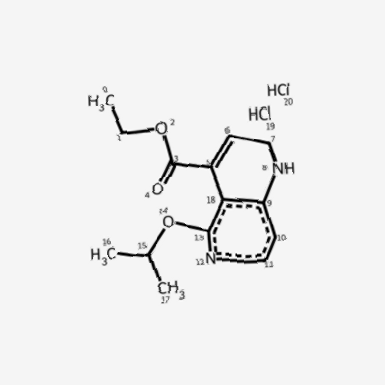 CCOC(=O)C1=CCNc2ccnc(OC(C)C)c21.Cl.Cl